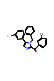 O=C(c1cccc(C(F)(F)F)c1)c1ncc(-c2cccc(C(F)(F)F)c2)n1Cc1ccccc1